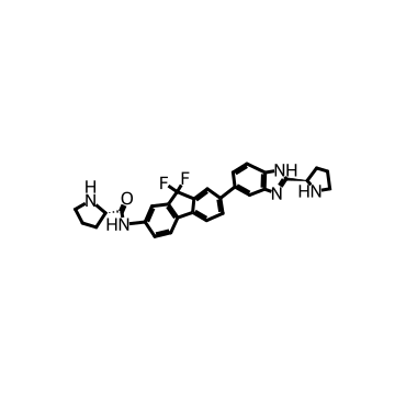 O=C(Nc1ccc2c(c1)C(F)(F)c1cc(-c3ccc4[nH]c([C@H]5CCCN5)nc4c3)ccc1-2)[C@@H]1CCCN1